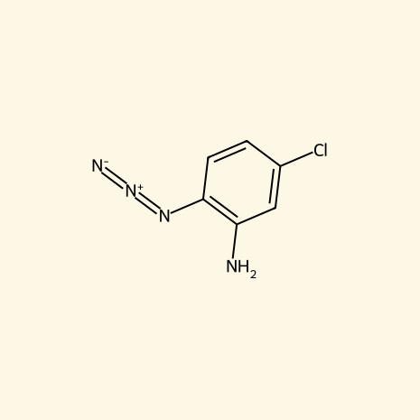 [N-]=[N+]=Nc1ccc(Cl)cc1N